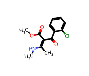 CN/C(C)=C(\C(=O)OC)C(=O)c1ccccc1Cl